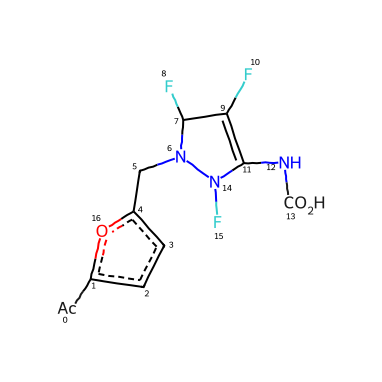 CC(=O)c1ccc(CN2C(F)C(F)=C(NC(=O)O)N2F)o1